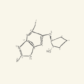 O[C@H]1CCC[C@@H]1Oc1cc2sc(Br)nc2cc1F